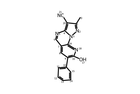 Cc1nn2c(ncc3cc(-c4ccccc4)c(O)nc32)c1C#N